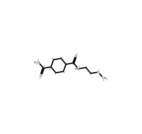 COCCNC(=O)C1CCC(C(N)=O)CC1